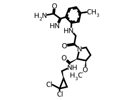 CO[C@@H]1CCN(C(=O)CNc2cc(C)ccc2C(=N)C(N)=O)[C@@H]1C(=O)NC[C@H]1CC1(Cl)Cl